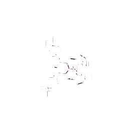 FC1(F)CCN(C(C(=S)C(c2cnc3[nH]ccc3c2)N2CCC(F)(F)CC2)c2cnc3[nH]ccc3c2)CC1